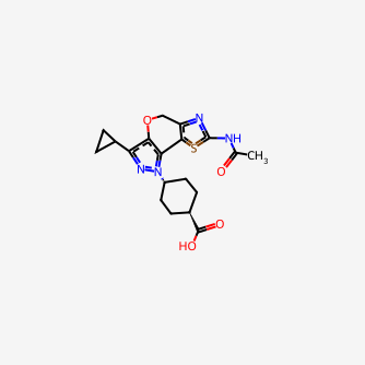 CC(=O)Nc1nc2c(s1)-c1c(c(C3CC3)nn1[C@H]1CC[C@H](C(=O)O)CC1)OC2